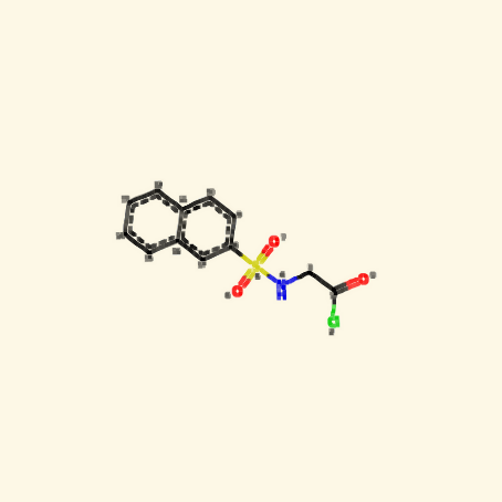 O=C(Cl)CNS(=O)(=O)c1ccc2ccccc2c1